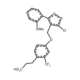 COc1ccccc1-c1snc(Cl)c1COc1ccc(CCC(=O)O)c(C(F)(F)F)c1